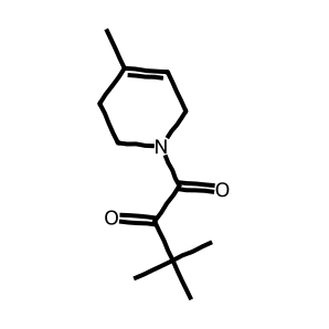 CC1=CCN(C(=O)C(=O)C(C)(C)C)CC1